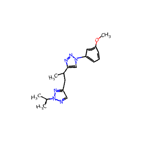 COc1cccc(-n2cc(C(C)Cc3cnn(C(C)C)n3)nn2)c1